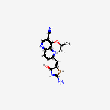 CC(C)Oc1c(C#N)cnc2ccc(C=C3SC(N)=NC3=O)nc12